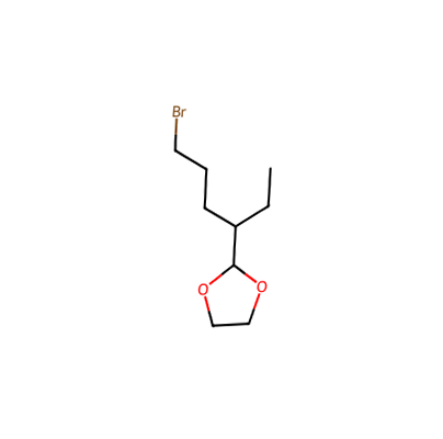 CCC(CCCBr)C1OCCO1